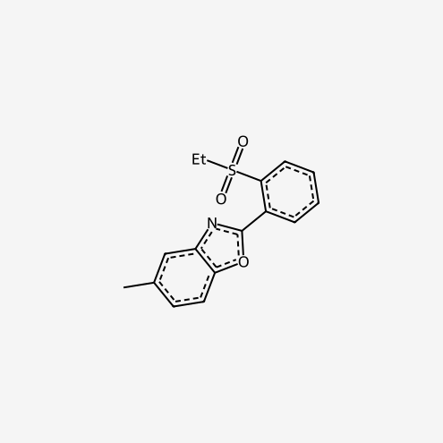 CCS(=O)(=O)c1ccccc1-c1nc2cc(C)ccc2o1